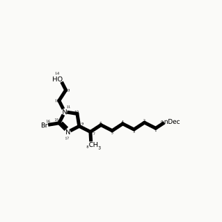 CCCCCCCCCCCCCCCCC(C)C1CN(CCO)C(Br)=N1